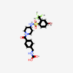 O=C(O)NCc1ccc(C(=O)N2CCC(NS(=O)(=O)c3ccc(Br)cc3C(F)(F)F)CC2)cc1